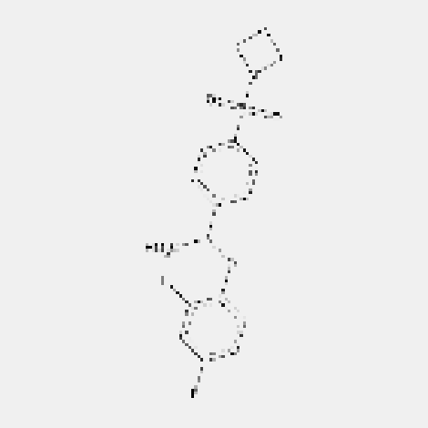 O=C(O)C(Oc1ccc(F)cc1F)c1ccc(S(=O)(=O)N2CCC2)cc1